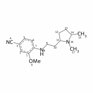 COc1cc(C#N)ccc1NCCC1CCC(C)N1C